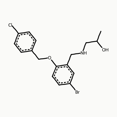 CC(O)CNCc1cc(Br)ccc1OCc1ccc(Cl)cc1